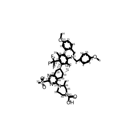 COc1ccc(CN(Cc2ccc(OC)cc2)c2cc(C)c(C(F)(F)F)c([C@@H]3Cc4nc(S(C)(=O)=O)nc(N5CCN(C(=O)O)CC5C)c4C[C@H]3C)c2F)cc1